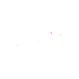 CCCCCCCCCCCCCCCCCCCC(CCC)N=O